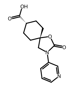 O=C1O[C@]2(CC[C@@H](C(=O)O)CC2)CN1c1cccnc1